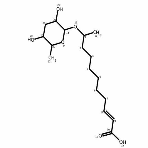 CC(CCCCCC/C=C/C(=O)O)OC1OC(C)C(O)CC1O